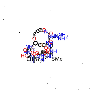 CCSCc1cc2cc(c1)OCCCCCCO/N=C/C(=O)N[C@@H](CCCNC(=N)N)C(=O)N[C@H](C(=O)N1CCC[C@H]1C(=O)N[C@@H](CCSC)C(=O)N[C@@H](CC(=O)O)C(=O)N[C@H](C(=O)N1CCC[C@H]1C(=O)N[C@H](C(=O)NCC(N)=O)[C@@H](C)O)[C@@H](C)CC)CSC2